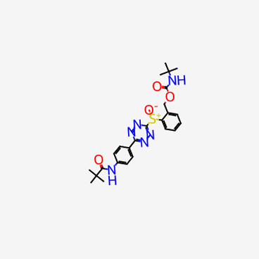 CC(C)(C)NC(=O)OCc1ccccc1[S+]([O-])c1nnc(-c2ccc(NC(=O)C(C)(C)C)cc2)nn1